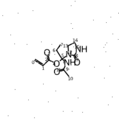 C=CC(=O)OC(CC)(NC(C)=O)N1CCNC1=O